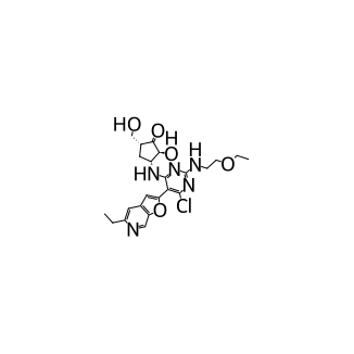 CCOCCNc1nc(Cl)c(-c2cc3cc(CC)ncc3o2)c(N[C@@H]2C[C@H](CO)C(=O)[C@H]2O)n1